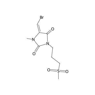 CN1C(=O)N(CCCS(C)(=O)=O)C(=O)C1=CBr